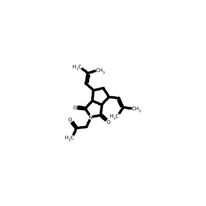 CC(=O)CN1C(=O)C2C(C=C(C)C)CC(C=C(C)C)C2C1=O